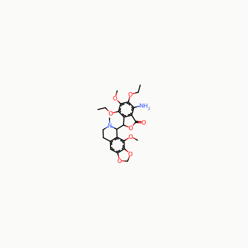 CCOc1c(N)c2c(c(OCC)c1OC)C(C1c3c(cc4c(c3OC)OCO4)CCN1C)OC2=O